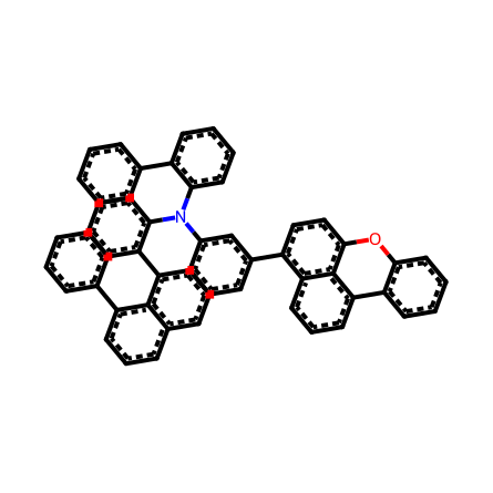 c1ccc(-c2ccccc2N(c2cccc(-c3ccc4c5c(cccc35)-c3ccccc3O4)c2)c2ccccc2-c2cccc3cccc(-c4ccccc4)c23)cc1